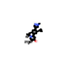 CCOC(=O)c1cn2c(cc1=O)-c1cc(C3CC3)c(-c3cnn(C)c3)cc1CC2(C)C(C)C